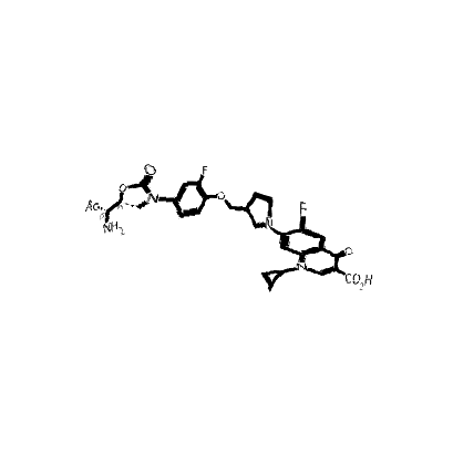 CC(=O)[C@@H](N)[C@H]1CN(c2ccc(OCC3CCN(c4cc5c(cc4F)c(=O)c(C(=O)O)cn5C4CC4)C3)c(F)c2)C(=O)O1